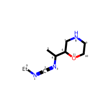 CCN=C=NC(C)C1CNCCO1